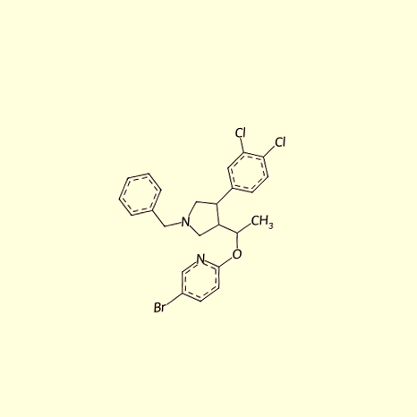 CC(Oc1ccc(Br)cn1)C1CN(Cc2ccccc2)CC1c1ccc(Cl)c(Cl)c1